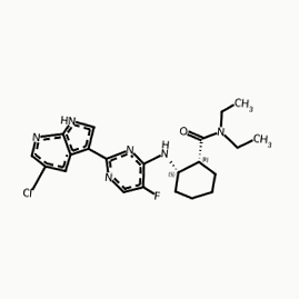 CCN(CC)C(=O)[C@@H]1CCCC[C@@H]1Nc1nc(-c2c[nH]c3ncc(Cl)cc23)ncc1F